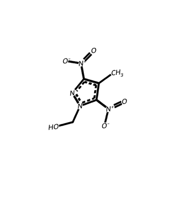 Cc1c([N+](=O)[O-])nn(CO)c1[N+](=O)[O-]